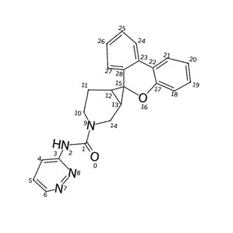 O=C(Nc1cccnn1)N1CCC2C(C1)C21Oc2ccccc2-c2ccccc21